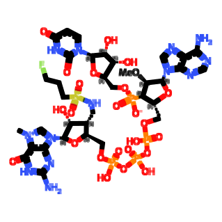 CO[C@@H]1[C@H](P(=O)([O-])OC[C@H]2O[C@@H](n3ccc(=O)[nH]c3=O)[C@H](O)[C@@H]2O)[C@@H](COP(=O)(O)OP(=O)(O)OP(=O)(O)OC[C@H]2O[C@@H](n3c[n+](C)c4c(=O)[nH]c(N)nc43)[C@H](O)[C@@H]2CNS(=O)(=O)CCCF)O[C@H]1n1cnc2c(N)ncnc21